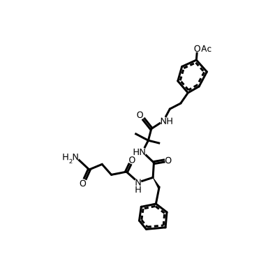 CC(=O)Oc1ccc(CCNC(=O)C(C)(C)NC(=O)[C@@H](Cc2ccccc2)NC(=O)CCC(N)=O)cc1